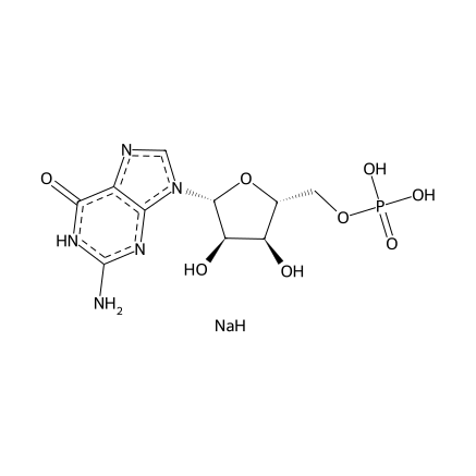 Nc1nc2c(ncn2[C@@H]2O[C@H](COP(=O)(O)O)[C@@H](O)[C@H]2O)c(=O)[nH]1.[NaH]